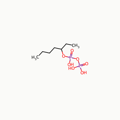 CCCCC(CC)OP(=O)(O)OP(=O)(O)O